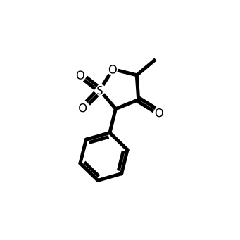 CC1OS(=O)(=O)C(c2ccccc2)C1=O